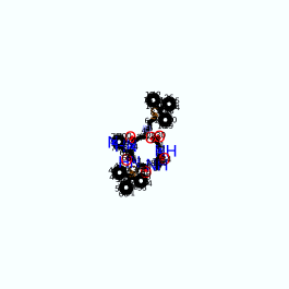 O=C1C[C@@H](/C=C/CCSC(c2ccccc2)(c2ccccc2)c2ccccc2)OC(=O)CNC(=O)C2(CC2)NC(=O)[C@@H](CSC(c2ccccc2)(c2ccccc2)c2ccccc2)NC(=O)[C@@H](Cc2cccnc2)N1